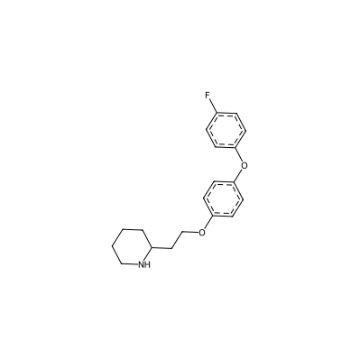 Fc1ccc(Oc2ccc(OCCC3CCCCN3)cc2)cc1